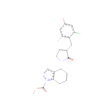 CC(C)(C)OC(=O)n1ncc2c1CCC[C@H]2N1CCC(Cc2c(Cl)cc(O)cc2Cl)C1=O